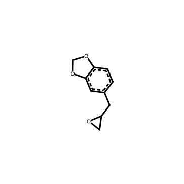 c1cc2c(cc1CC1CO1)OCO2